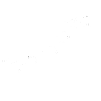 CCOC(=O)c1csc(CCCC(=O)c2cnc3c(SC(C)(C)C)cccc3c2)n1